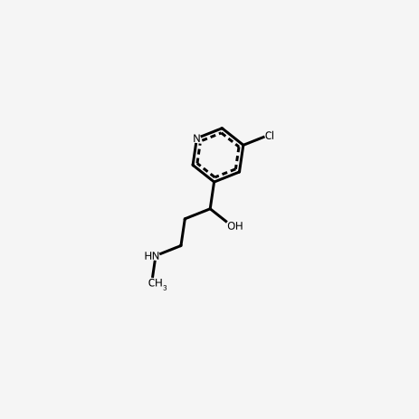 CNCCC(O)c1cncc(Cl)c1